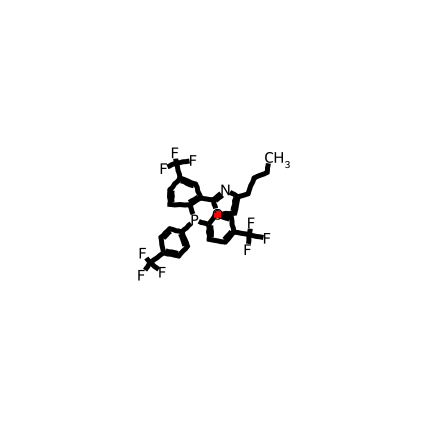 CCCCc1coc(-c2cc(C(F)(F)F)ccc2P(c2ccc(C(F)(F)F)cc2)c2ccc(C(F)(F)F)cc2)n1